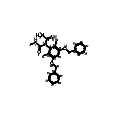 CNC(=O)N(C(=N)N)c1c(C)c(OCc2ccccc2)cc(OCc2ccccc2)c1C